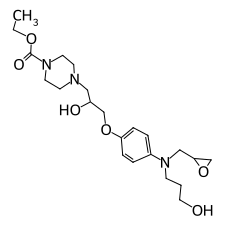 CCOC(=O)N1CCN(CC(O)COc2ccc(N(CCCO)CC3CO3)cc2)CC1